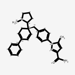 Cc1cc(C(N)=O)nn1-c1ccc(C[C@@]2(C3CCCN3C)C=CC(c3ccccc3)=CC2)cc1